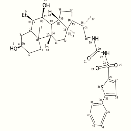 CC[C@@H]1C2C[C@H](O)CCC2(C)[C@H]2CC[C@]3(C)[C@@H]([C@H](C)CNC(=O)NS(=O)(=O)c4ccc(-c5ccccc5)s4)CC[C@H]3C2[C@@H]1O